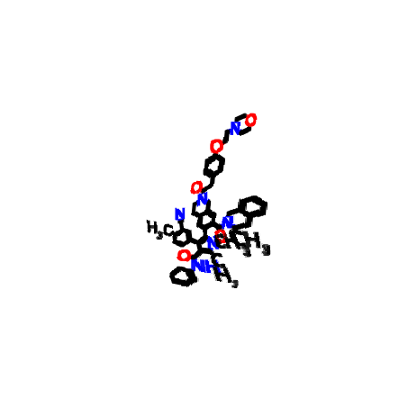 Cc1ccc(-c2c(C(=O)Nc3ccccc3)c(C)n(C)c2-c2cc3c(cc2C(=O)N2Cc4ccccc4C[C@H]2C)CN(C(=O)Cc2ccc(OCCN4CCOCC4)cc2)CC3)cc1C#N